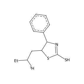 [3H]C(CC)CC1SC(S)=NC1c1ccccc1